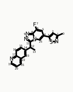 Cc1cc(-c2cc(F)c3nnc(C(C)c4ccc5ncccc5c4)n3c2)sn1